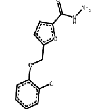 NNC(=O)c1ccc(COc2ccccc2Cl)o1